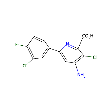 Nc1cc(-c2ccc(F)c(Cl)c2)nc(C(=O)O)c1Cl